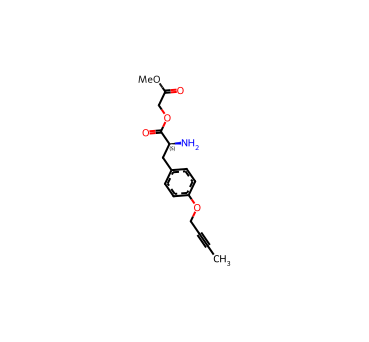 CC#CCOc1ccc(C[C@H](N)C(=O)OCC(=O)OC)cc1